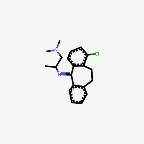 CC(CN(C)C)N=C1c2ccccc2CCc2c(Cl)cccc21